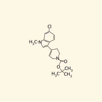 Cn1cc(C2=CCN(C(=O)OC(C)(C)C)CC2)c2ccc(Cl)cc21